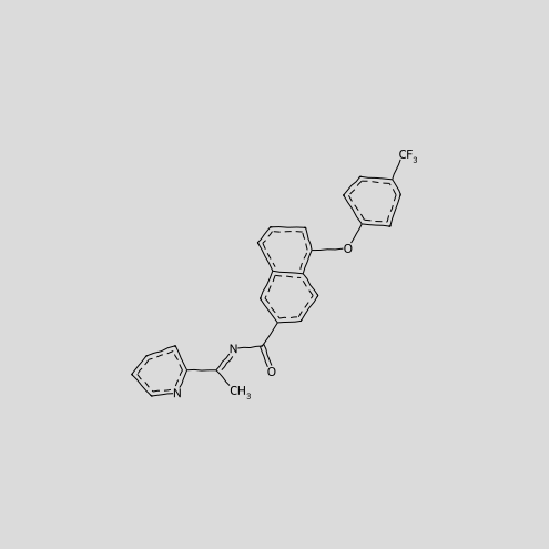 C/C(=N\C(=O)c1ccc2c(Oc3ccc(C(F)(F)F)cc3)cccc2c1)c1ccccn1